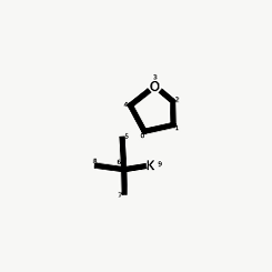 C1CCOC1.C[C](C)(C)[K]